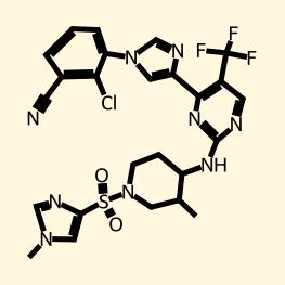 CC1CN(S(=O)(=O)c2cn(C)cn2)CCC1Nc1ncc(C(F)(F)F)c(-c2cn(-c3cccc(C#N)c3Cl)cn2)n1